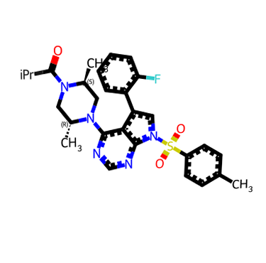 Cc1ccc(S(=O)(=O)n2cc(-c3ccccc3F)c3c(N4C[C@H](C)N(C(=O)C(C)C)C[C@H]4C)ncnc32)cc1